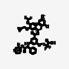 COc1cc(NC(C(=O)O[C@H]2CN3CCC2CC3)c2ccccc2)cc(C(=O)O[C@@H](Cc2c(Cl)c[n+]([O-])cc2Cl)c2ccc(OC(F)F)c(OCC3CC3)c2)c1.O=C(O)C(F)(F)F